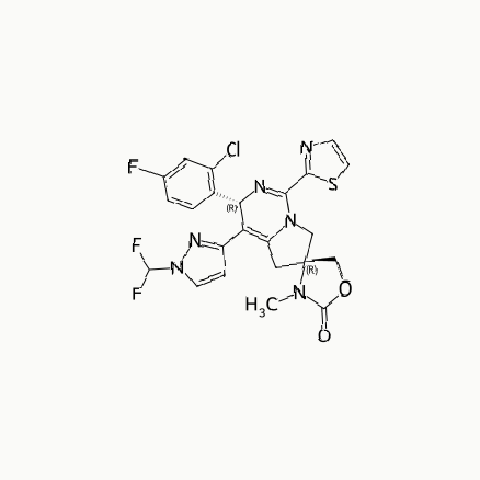 CN1C(=O)OC[C@]12CC1=C(c3ccn(C(F)F)n3)[C@H](c3ccc(F)cc3Cl)N=C(c3nccs3)N1C2